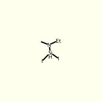 CCN(C)[SiH](I)I